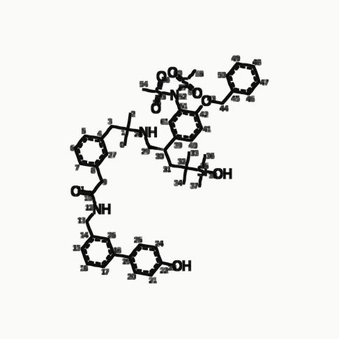 CC(C)(Cc1cccc(CC(=O)NCc2cccc(-c3ccc(O)cc3)c2)c1)NC[C@H](CC(C)(C)[Si](C)(C)O)c1ccc(OCc2ccccc2)c(N(S(C)(=O)=O)S(C)(=O)=O)c1